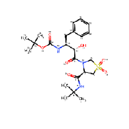 CC(C)(C)NC(=O)[C@@H]1CS(=O)(=O)CN1C(=O)[C@@H](O)[C@H](Cc1ccccc1)NC(=O)OC(C)(C)C